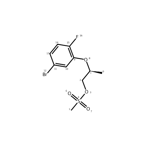 C[C@@H](COS(C)(=O)=O)Oc1cc(Br)ccc1F